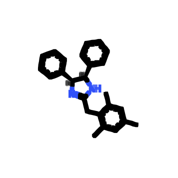 Cc1cc(C)c(CC2=N[C@@H](c3ccccc3)[C@@H](c3ccccc3)N2)c(C)c1